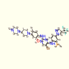 COc1cc(N2CCC(N3CCN(C)CC3)CC2)c(C)cc1Nc1ncc(Br)c(Nc2ccc(-n3cc(C(F)(F)F)cn3)cc2P(C)C)n1